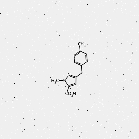 Cc1ccc(Cc2cc(C(=O)O)n(C)n2)cc1